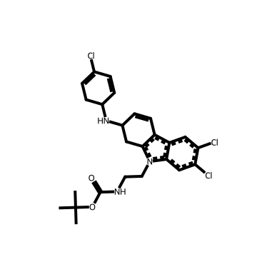 CC(C)(C)OC(=O)NCCn1c2c(c3cc(Cl)c(Cl)cc31)C=CC(NC1C=CC(Cl)=CC1)C2